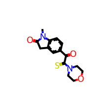 CN1C(=O)Cc2cc(C(=O)C(=S)N3CCOCC3)ccc21